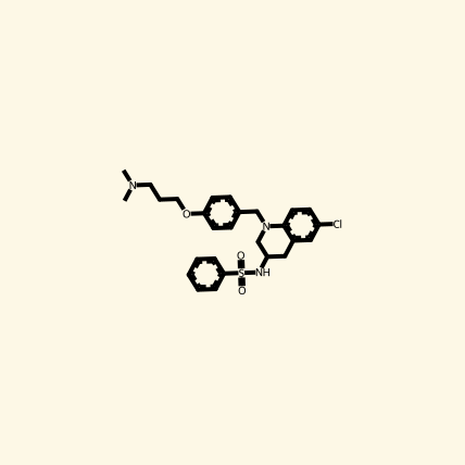 CN(C)CCCOc1ccc(CN2CC(NS(=O)(=O)c3ccccc3)Cc3cc(Cl)ccc32)cc1